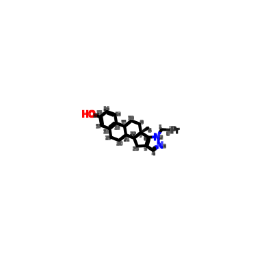 CC(C)Cn1ncc2c1[C@@]1(C)CCC3c4ccc(O)cc4CCC3C1C2